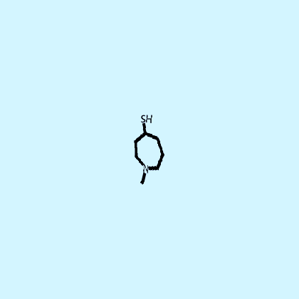 CN1CCCC(S)CC1